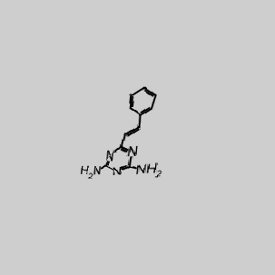 Nc1nc(N)nc(C=Cc2ccccc2)n1